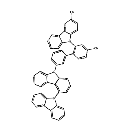 N#Cc1ccc(-c2cccc(-n3c4ccccc4c4c(-n5c6ccccc6c6ccccc65)cccc43)c2)c(-n2c3ccccc3c3cc(C#N)ccc32)c1